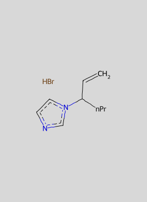 Br.C=CC(CCC)n1ccnc1